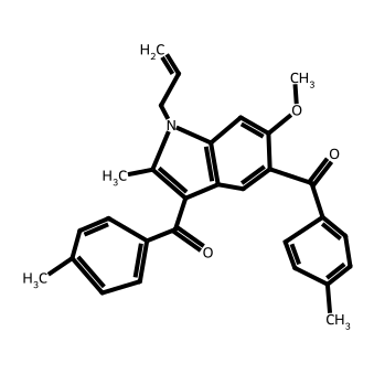 C=CCn1c(C)c(C(=O)c2ccc(C)cc2)c2cc(C(=O)c3ccc(C)cc3)c(OC)cc21